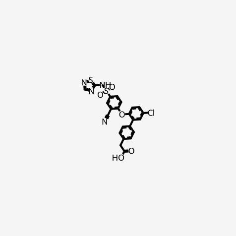 N#Cc1cc(S(=O)(=O)Nc2ncns2)ccc1Oc1ccc(Cl)cc1-c1ccc(CC(=O)O)cc1